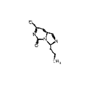 CCCC1N=Cc2cc(Cl)nc(=O)n21